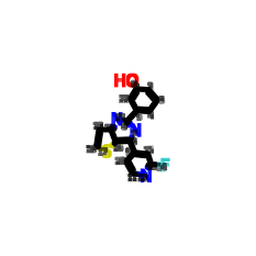 Oc1cccc(-c2nc(-c3ccnc(F)c3)c3sccc3n2)c1